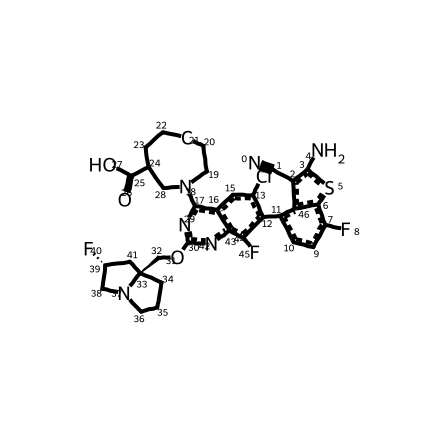 N#Cc1c(N)sc2c(F)ccc(-c3c(Cl)cc4c(N5CCCCCC(C(=O)O)C5)nc(OC[C@@]56CCCN5C[C@H](F)C6)nc4c3F)c12